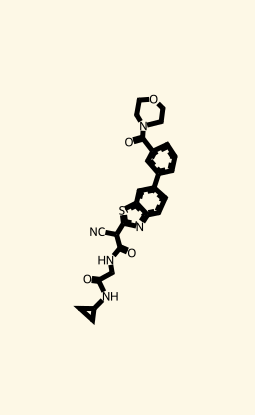 N#CC(C(=O)NCC(=O)NC1CC1)c1nc2ccc(-c3cccc(C(=O)N4CCOCC4)c3)cc2s1